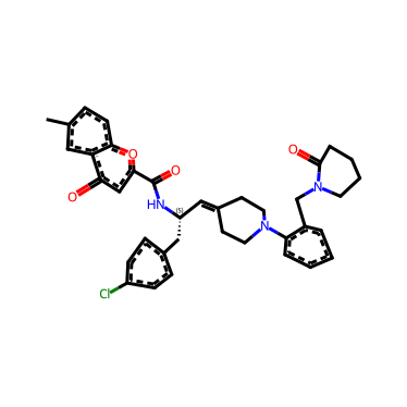 Cc1ccc2oc(C(=O)N[C@H](C=C3CCN(c4ccccc4CN4CCCCC4=O)CC3)Cc3ccc(Cl)cc3)cc(=O)c2c1